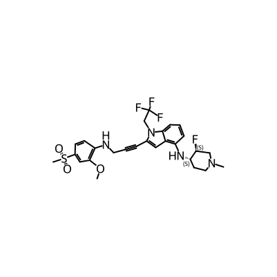 COc1cc(S(C)(=O)=O)ccc1NCC#Cc1cc2c(N[C@H]3CCN(C)C[C@@H]3F)cccc2n1CC(F)(F)F